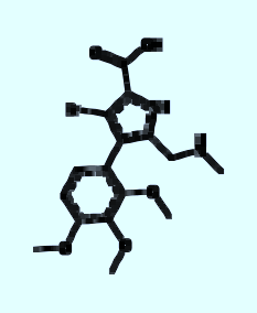 CNCc1[nH]c(C(=O)O)c(Br)c1-c1ccc(OC)c(OC)c1OC